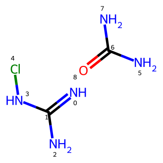 N=C(N)NCl.NC(N)=O